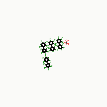 Fc1c(F)c(F)c(-c2c(F)c(F)c(F)c(F)c2F)c(F)c1F.Fc1c(F)c(F)c(-c2c(F)c(F)c(F)c(F)c2F)c(F)c1F.Fc1c(F)c(F)c(-c2c(F)c(F)c(F)c(F)c2F)c(F)c1F.Fc1c(F)c(F)c(-c2c(F)c(F)c(F)c(F)c2F)c(F)c1F.OB(O)O